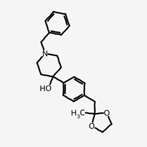 CC1(Cc2ccc(C3(O)CCN(Cc4ccccc4)CC3)cc2)OCCO1